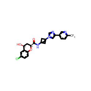 O=C(NC12CC(n3cnc(-c4ccc(C(F)(F)F)nc4)c3)(C1)C2)[C@@H]1C[C@H](O)c2cc(Cl)ccc2O1